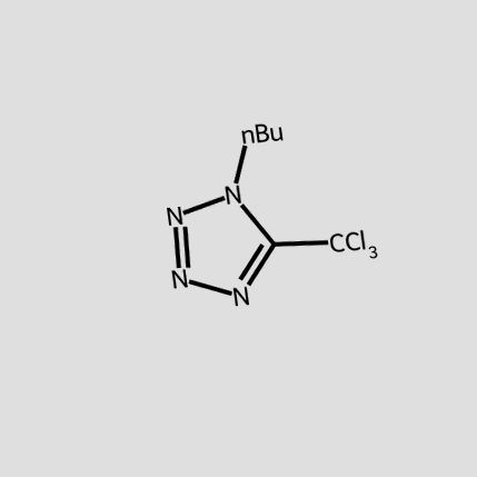 CCCCn1nnnc1C(Cl)(Cl)Cl